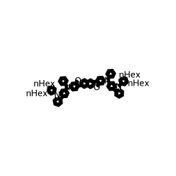 CCCCCCc1cc(CCCCCC)cc(-n2c3ccccc3c3ccc(N(c4ccccc4)c4ccc5c(c4)oc4cc6cc7c(cc6cc45)oc4cc(N(c5ccccc5)c5ccc6c8ccccc8n(-c8cc(CCCCCC)cc(CCCCCC)c8)c6c5)ccc47)cc32)c1